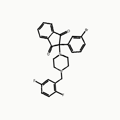 O=C1c2ccccc2C(=O)C1(c1cccc(Br)c1)N1CCN(Cc2cc(F)ccc2F)CC1